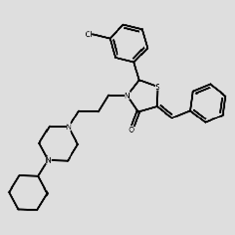 O=C1C(=Cc2ccccc2)SC(c2cccc(Cl)c2)N1CCCN1CCN(C2CCCCC2)CC1